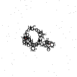 C=C1C[C@@H]2CC[C@@]34C[C@]5(C)O[C@H]6[C@@H](O3)[C@H]3OC(CC[C@@H]3O[C@H]6[C@H]5O4)CC(O)C(Cc3ccccc3)C3[C@@H](C)C(C[C@@H](CN4C(=O)c5ccccc5C4=O)O[Si](C)(C)C(C)(C)C)O[C@H]3CC3O[C@@H](CCC1O2)C[C@@H](C)C3=C